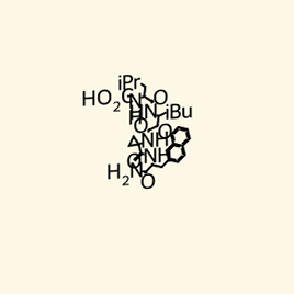 CCC(C)C(NC(=O)C(CC(C)C)NC(=O)O)C(=O)C(=O)NC1(C(=O)NC(Cc2ccc3ccccc3c2)C(N)=O)CC1